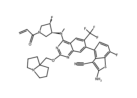 C=CC(=O)N1C[C@@H](F)[C@@H](N(C)c2nc(OCC34CCCN3CCC4)nc3cc(-c4ccc(F)c5sc(N)c(C#N)c45)c(C(F)(F)F)cc23)C1